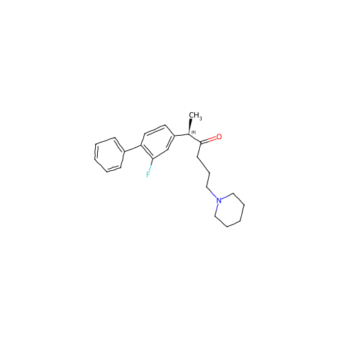 C[C@@H](C(=O)CCCN1CCCCC1)c1ccc(-c2ccccc2)c(F)c1